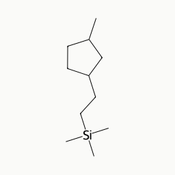 CC1CCC(CC[Si](C)(C)C)C1